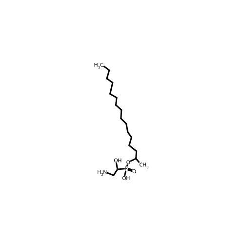 CCCCCCCCCCCCCCC(C)OP(=O)(O)C(O)CN